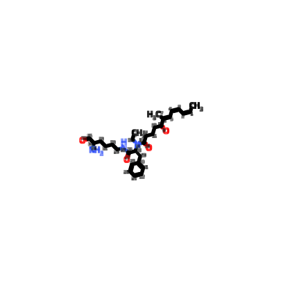 C\C=C/C=C\C=C(/C)C(=O)CCCC(=O)N(CC)[C@@H](Cc1ccccc1)C(=O)NCCCCC(N)C=O